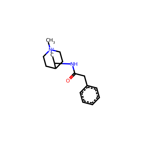 C[N+]12CCC(CC1)C(NC(=O)Cc1ccccc1)C2